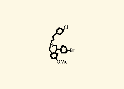 COc1ccc2c(c1)C(c1ccc(Br)cc1)CN(CC=Cc1ccc(Cl)cc1)CC2